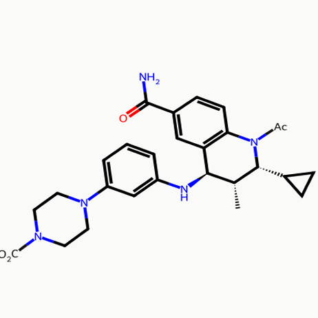 CC(=O)N1c2ccc(C(N)=O)cc2[C@H](Nc2cccc(N3CCN(C(=O)O)CC3)c2)[C@@H](C)[C@H]1C1CC1